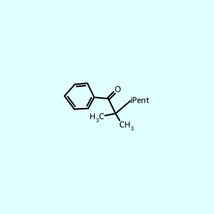 CCCC(C)C(C)(C)C(=O)c1ccccc1